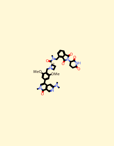 COc1cc(-c2cn(C)c(=O)c3cnc(N(C)C)cc23)cc(OC)c1CN1CC[C@H]1C(=O)N(C)Cc1cccc2c1C(=O)N(C1CCC(=O)NC1=O)C2=O